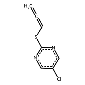 C=C=CSc1ncc(Cl)cn1